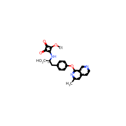 CCOc1c(N[C@@H](Cc2ccc(Oc3nc(C)cc4ccncc34)cc2)C(=O)O)c(=O)c1=O